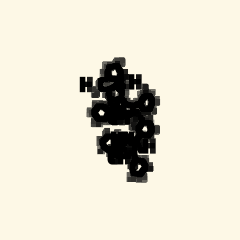 CC1CCCCC1C1NC(C2CCCCC2)NC(C2CC=CC(N3C4CCCCC4C4C5C6CC(C7(C)CCCCC7)C(C)CC6N(C6(C)CCCCC6)[C@@H]5CC43)C2)N1